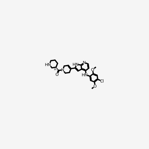 COc1cc(Nc2ccnc3[nH]c(C4=CCN(C(=O)[C@@H]5CCCNC5)CC4)cc23)c(OC)cc1Cl